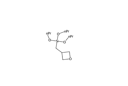 CCCO[Si](CC1COC1)(OCCC)OCCC